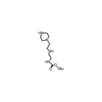 CC(C)(C)OC(=O)NCCNCCN1CCNCC1